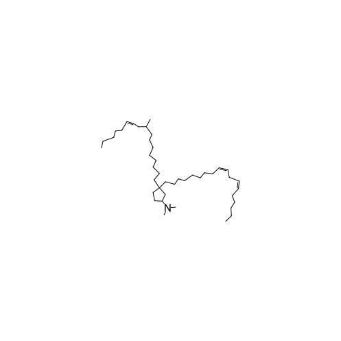 CCCCC/C=C\C/C=C\CCCCCCCCC1(CCCCCCCCC(C)C/C=C\CCCCC)CCC(N(C)C)C1